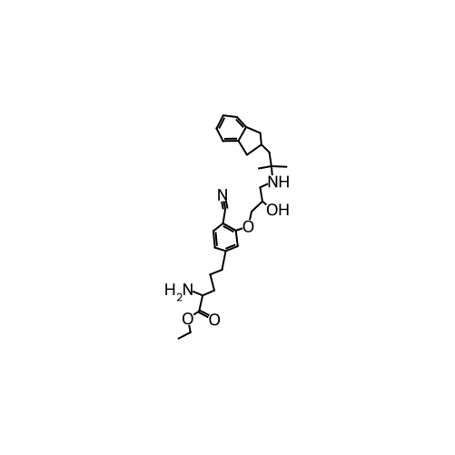 CCOC(=O)C(N)CCCc1ccc(C#N)c(OCC(O)CNC(C)(C)CC2Cc3ccccc3C2)c1